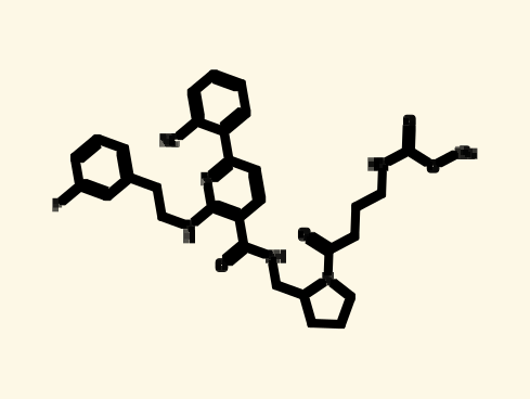 CC(C)(C)OC(=O)NCCCC(=O)N1CCCC1CNC(=O)c1ccc(-c2ccccc2C#N)nc1NCCc1cccc(F)c1